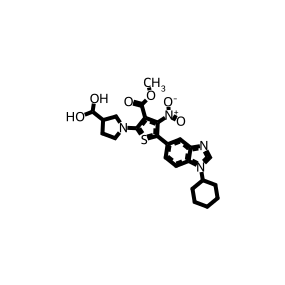 COC(=O)c1c(N2CCC(C(O)O)C2)sc(-c2ccc3c(c2)ncn3C2CCCCC2)c1[N+](=O)[O-]